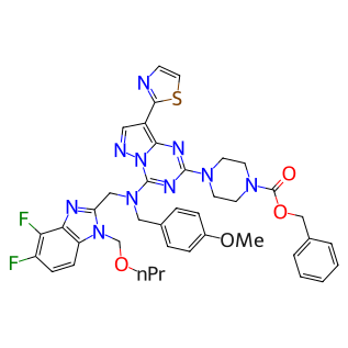 CCCOCn1c(CN(Cc2ccc(OC)cc2)c2nc(N3CCN(C(=O)OCc4ccccc4)CC3)nc3c(-c4nccs4)cnn23)nc2c(F)c(F)ccc21